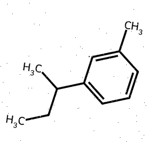 CCC(C)c1[c]c(C)ccc1